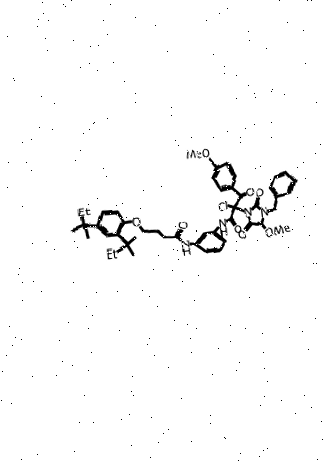 CCC(C)(C)c1ccc(OCCCC(=O)Nc2cccc(NC(=O)C(Cl)(C(=O)c3ccc(OC)cc3)N3C(=O)C(OC)N(Cc4ccccc4)C3=O)c2)c(C(C)(C)CC)c1